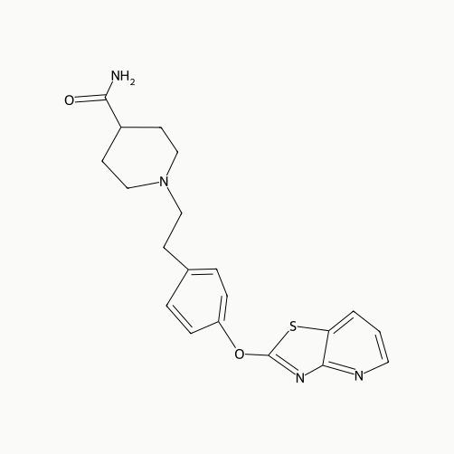 NC(=O)C1CCN(CCc2ccc(Oc3nc4ncccc4s3)cc2)CC1